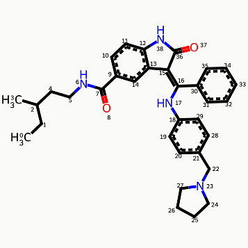 CCC(C)CCNC(=O)c1ccc2c(c1)C(=C(Nc1ccc(CN3CCCC3)cc1)c1ccccc1)C(=O)N2